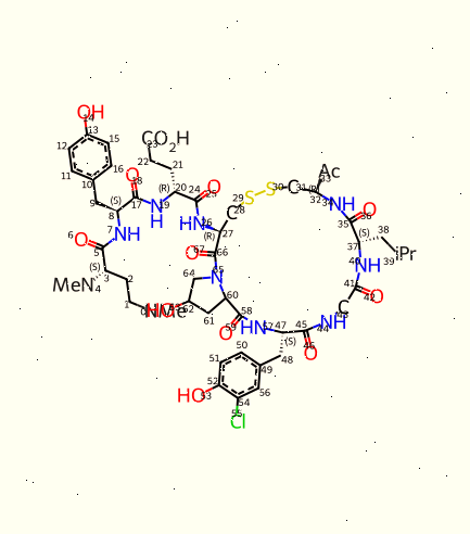 CNCC[C@H](NC)C(=O)N[C@@H](Cc1ccc(O)cc1)C(=O)N[C@H](CCC(=O)O)C(=O)N[C@H]1CSSC[C@@H](C(C)=O)NC(=O)[C@H](CC(C)C)NC(=O)CNC(=O)[C@H](Cc2ccc(O)c(Cl)c2)NC(=O)C2CC(O)CN2C1=O